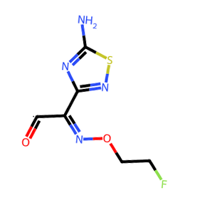 Nc1nc(/C([C]=O)=N\OCCF)ns1